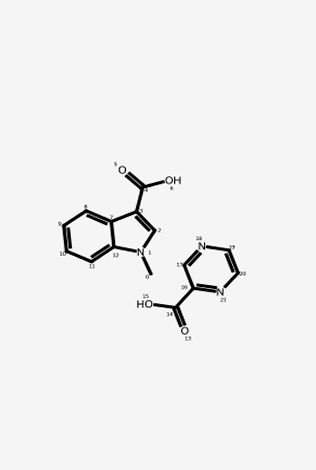 Cn1cc(C(=O)O)c2ccccc21.O=C(O)c1cnccn1